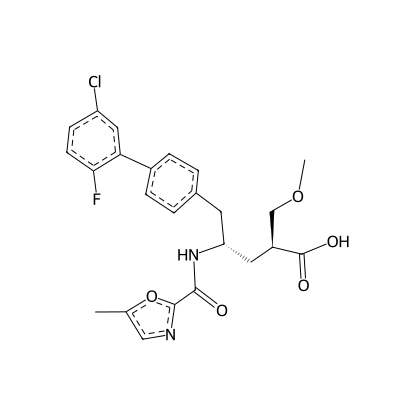 COC[C@H](C[C@@H](Cc1ccc(-c2cc(Cl)ccc2F)cc1)NC(=O)c1ncc(C)o1)C(=O)O